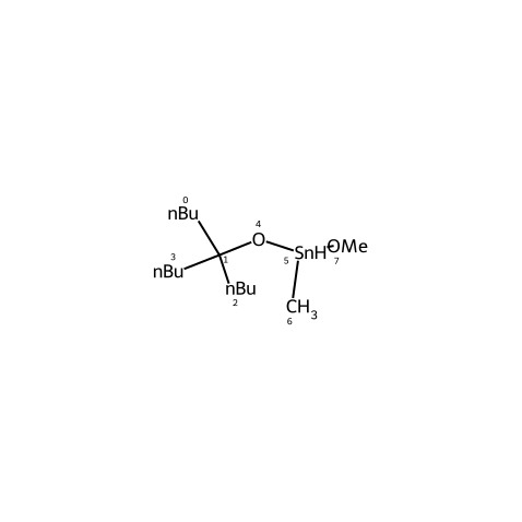 CCCCC(CCCC)(CCCC)[O][SnH]([CH3])[O]C